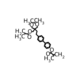 C=C(C)C(=O)OCC1(CCc2ccc(-c3ccc(OC(=O)C(=C)C)cc3)cc2)COC(C)(C)OC1